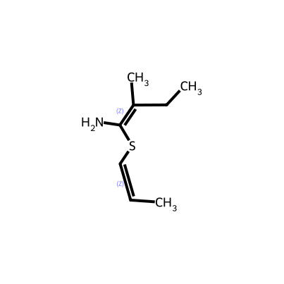 C/C=C\S/C(N)=C(/C)CC